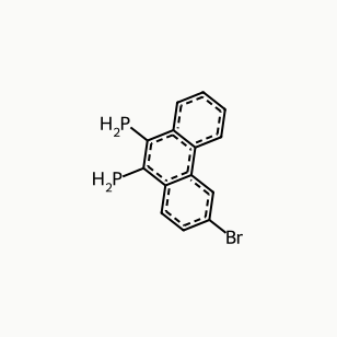 Pc1c(P)c2ccc(Br)cc2c2ccccc12